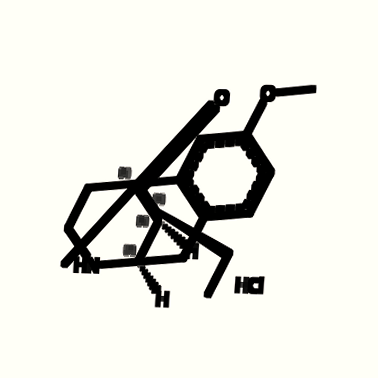 CC[C@H]1CC(=O)C[C@]23CCN[C@H](Cc4ccc(OC)cc42)[C@H]13.Cl